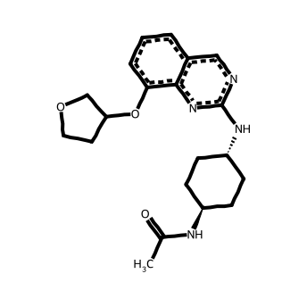 CC(=O)N[C@H]1CC[C@H](Nc2ncc3cccc(OC4CCOC4)c3n2)CC1